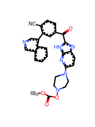 CC(C)(C)OC(=O)ON1CCN(c2ccc3nc(C(=O)c4ccc(C#N)c(-c5cncc6ccccc56)c4)[nH]c3n2)CC1